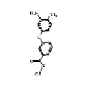 CC(C)(C)OC(=O)c1cc(Oc2ccc(N)c(N)c2)ccn1